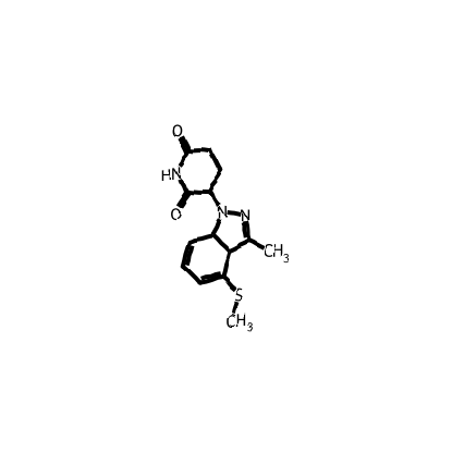 CSC1=CC=CC2C1C(C)=NN2C1CCC(=O)NC1=O